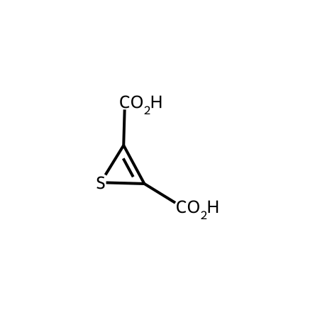 O=C(O)C1=C(C(=O)O)S1